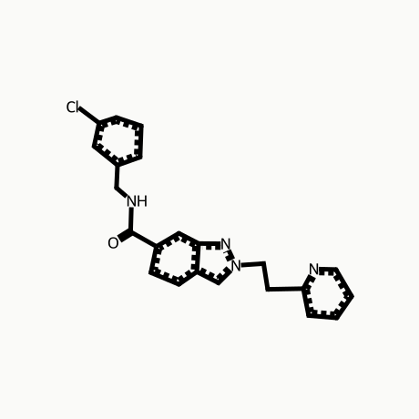 O=C(NCc1cccc(Cl)c1)c1ccc2cn(CCc3ccccn3)nc2c1